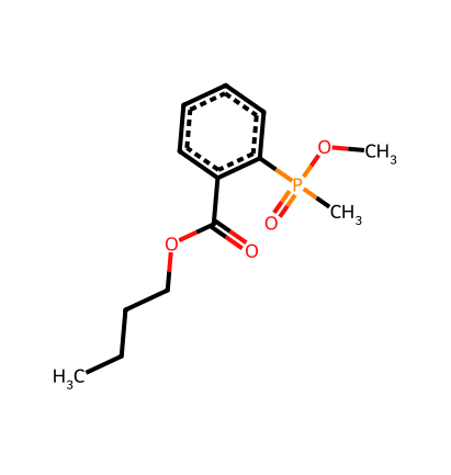 CCCCOC(=O)c1ccccc1P(C)(=O)OC